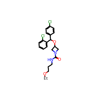 CCOCCCNC(=O)N1CC(OC(c2ccc(Cl)cc2)c2ccccc2Cl)C1